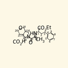 CCOC(=O)C(CCc1ccccc1)N[C@@H](C)C(=O)N1CC2COCCC2C1C(=O)O